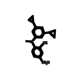 CN(c1cc(C2CC2)cc(C2CC2)c1)c1ccc(C(=O)O)cc1C#N